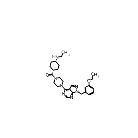 CCN[C@H]1CC[C@H](C(=O)N2CCN(c3ncnc4c3cnn4Cc3cccc(OCC)c3)CC2)CC1